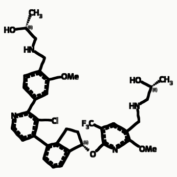 COc1cc(-c2nccc(-c3cccc4c3CC[C@@H]4Oc3nc(OC)c(CNC[C@@H](C)O)cc3C(F)(F)F)c2Cl)ccc1CNC[C@@H](C)O